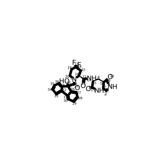 NC(=O)[C@H](C[C@@H]1CCNC1=O)NC(=O)[C@@H]1CC(F)(F)CCN1C(=O)C1(O)c2ccccc2-c2ccccc21